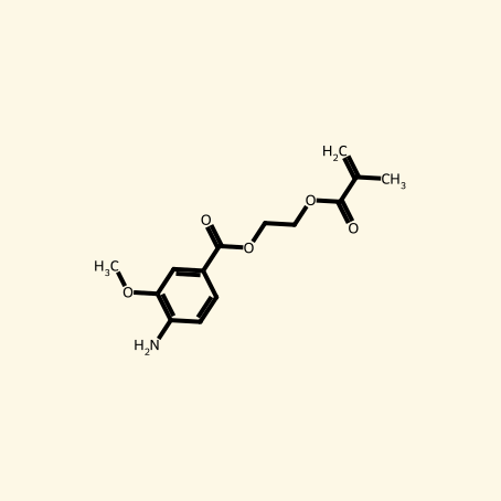 C=C(C)C(=O)OCCOC(=O)c1ccc(N)c(OC)c1